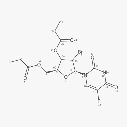 CCC(=O)OC[C@@H]1O[C@H](n2cc(F)c(=O)[nH]c2=O)C(Br)C1OC(=O)CC